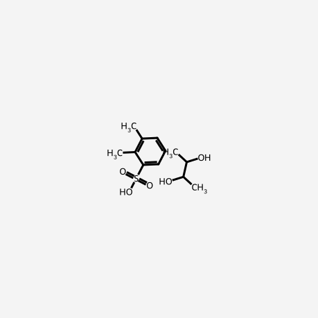 CC(O)C(C)O.Cc1cccc(S(=O)(=O)O)c1C